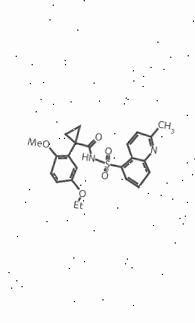 CCOc1ccc(OC)c(C2(C(=O)NS(=O)(=O)c3cccc4nc(C)ccc34)CC2)c1